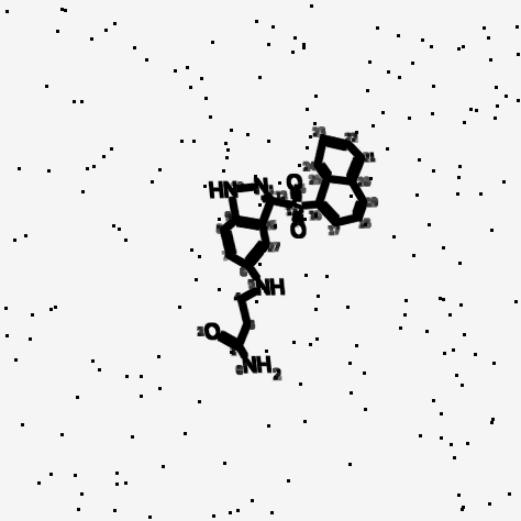 NC(=O)CCNc1ccc2[nH]nc(S(=O)(=O)c3cccc4ccccc34)c2c1